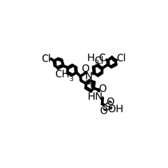 Cc1cc(Cl)ccc1-c1ccc(C(Cc2ccc(C(=O)NCCS(=O)(=O)O)cc2)C(=O)Nc2ccc(-c3ccc(Cl)cc3C)c(Cl)c2)cc1